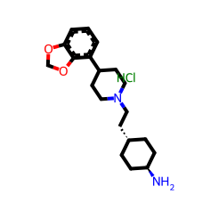 Cl.N[C@H]1CC[C@H](CCN2CCC(c3cccc4c3OCO4)CC2)CC1